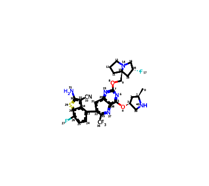 C[C@@H]1C[C@@H](Oc2nc(OC[C@@]34CCCN3C[C@H](F)C4)nc3cc(-c4ccc(F)c5sc(N)c(C#N)c45)c(C(F)(F)F)nc23)CN1